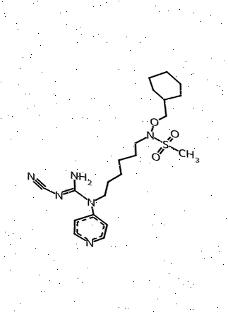 CS(=O)(=O)N(CCCCCCN(C(N)=NC#N)c1ccncc1)OCC1CCCCC1